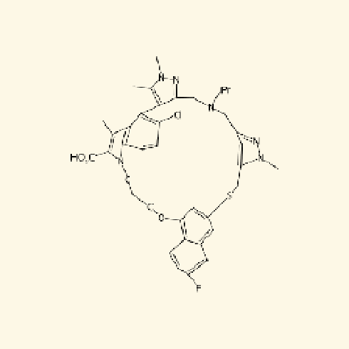 Cc1c(C(=O)O)n2c3ccc(Cl)c(c13)-c1c(nn(C)c1C)CN(C(C)C)Cc1cc(n(C)n1)CSc1cc(c3ccc(F)cc3c1)OCCC2